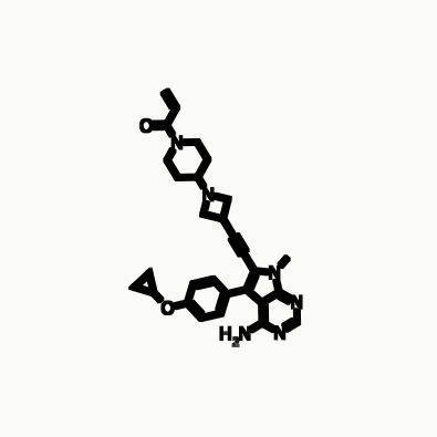 C=CC(=O)N1CCC(N2CC(C#Cc3c(-c4ccc(OC5CC5)cc4)c4c(N)ncnc4n3C)C2)CC1